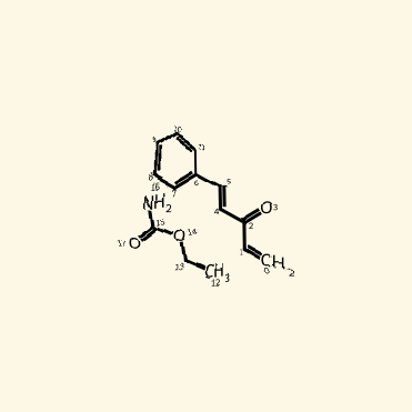 C=CC(=O)C=Cc1ccccc1.CCOC(N)=O